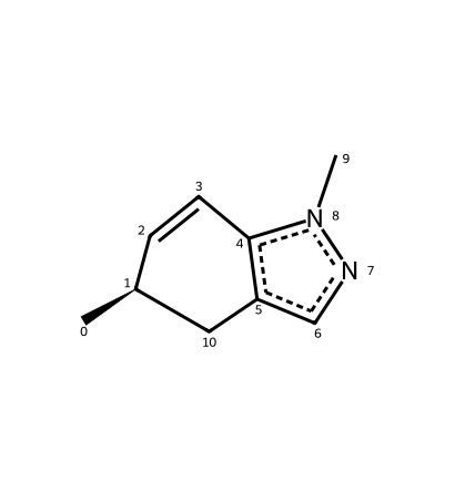 C[C@H]1C=Cc2c(cnn2C)C1